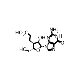 Nc1nc2c(ncn2[C@@H]2O[C@H](CO)[C@@H](CCC(=O)O)[C@H]2O)c(=O)[nH]1